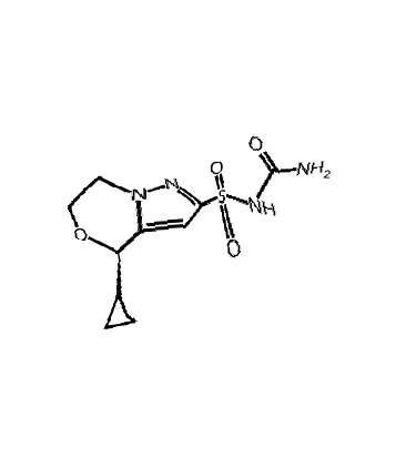 NC(=O)NS(=O)(=O)c1cc2n(n1)CCO[C@@H]2C1CC1